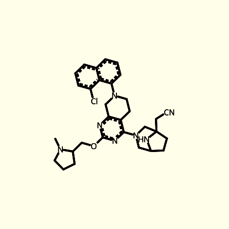 CN1CCCC1COc1nc2c(c(N3CC4CCC(CC#N)(C3)N4)n1)CCN(c1cccc3cccc(Cl)c13)C2